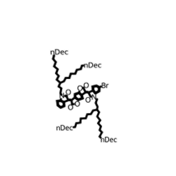 CCCCCCCCCCCCCCCCCCC(CCCCCCCCCCCCCCCCCC)CCCN1C(=O)/C(=C2/C(=O)Oc3cc4c(cc32)OC(=O)/C4=C2/C(=O)N(CCCC(CCCCCCCCCCCCCCCCCC)CCCCCCCCCCCCCCCCCC)c3cc(Br)ccc32)c2ccccc21